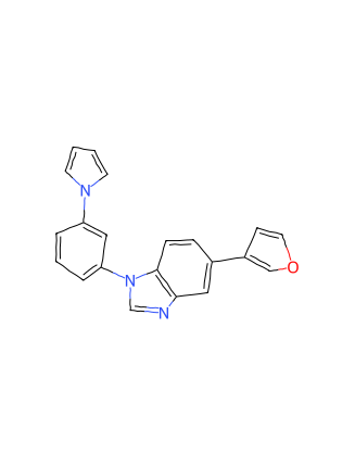 c1cc(-n2cccc2)cc(-n2cnc3cc(-c4ccoc4)ccc32)c1